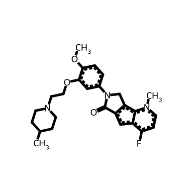 COc1ccc(N2Cc3c(cc4c(F)ccn(C)c3-4)C2=O)cc1OCCN1CCC(C)CC1